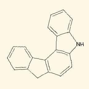 c1ccc2c(c1)Cc1ccc3[nH]c4ccccc4c3c1-2